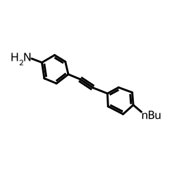 CCCCc1ccc(C#Cc2ccc(N)cc2)cc1